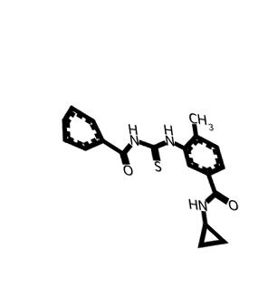 Cc1ccc(C(=O)NC2CC2)cc1NC(=S)NC(=O)c1ccccc1